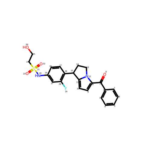 O=C(c1ccccc1)c1ccc2n1CCC2c1ccc(NS(=O)(=O)CCO)cc1F